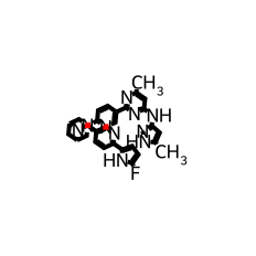 Cc1cc(Nc2cc(C)[nH]n2)nc(-c2ccc(N3CC4CC(C3)N4Cc3ccc(-c4ccc(F)[nH]4)nc3)nc2)n1